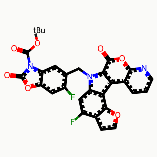 CC(C)(C)OC(=O)n1c(=O)oc2cc(F)c(Cn3c4cc(F)c5ccoc5c4c4c5cccnc5oc(=O)c43)cc21